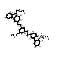 CCn1c2ccccc2c2cc(/C=C/c3cc(C)cc(/C=C/c4ccc5c(c4)c4ccccc4n5CC)c3)ccc21